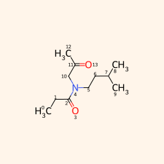 CCC(=O)N(CCC(C)C)CC(C)=O